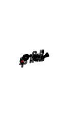 C[C@@](F)(I)OC1=C(F)C=C[C@H](CNC(=O)c2ccnc(NC(=O)C3CC3)n2)C1